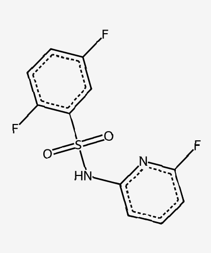 O=S(=O)(Nc1cccc(F)n1)c1cc(F)ccc1F